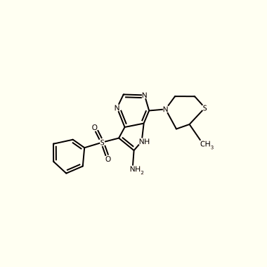 CC1CN(c2ncnc3c(S(=O)(=O)c4ccccc4)c(N)[nH]c23)CCS1